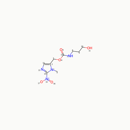 Cn1c(COC(=O)NCCCO)cnc1[N+](=O)[O-]